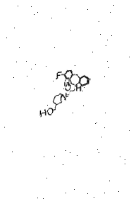 OCC1CCCN(C[C@H]2C[C@@H]3c4ccccc4Cc4ccc(F)cc4[C@@H]3O2)C1